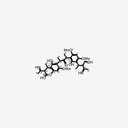 COc1cc(OC)c(C(C)C(CO)C(C)=N)c(O)c1C(C)C(=O)C(C)c1c(OC)cc(OC)c(C(C)C(CO)C(C)=N)c1O